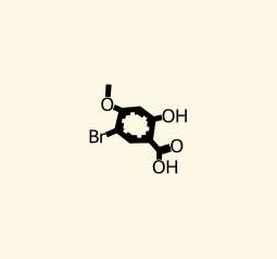 COc1cc(O)c(C(=O)O)cc1Br